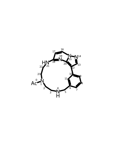 CC(=O)N1CCNCc2cccc(c2)-c2cnn3ccc(nc23)NCC1